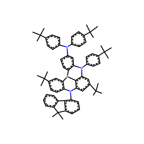 CC(C)(C)c1ccc(N(c2ccc(C(C)(C)C)cc2)c2ccc3c(c2)N(c2ccc(C(C)(C)C)cc2)c2cc(C(C)(C)C)cc4c2B3c2cc(C(C)(C)C)ccc2N4c2cccc3c2-c2ccccc2C3(C)C)cc1